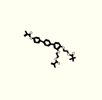 C=C(C)C(=O)OCCOc1cc(-c2ccc(-c3ccc(OC(=O)C(=C)C)cc3)cc2)ccc1OCCOC(=O)C(C)(C)C